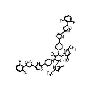 Cc1cc(C(F)(F)F)nn1CC(C(=O)C(C(C=O)n1nc(C(F)(F)F)cc1C)N1CCC(c2nc(C3=NOC(c4c(F)cccc4F)C3)cs2)CC1)N1CCC(c2nc(C3=NO[C@H](c4c(F)cccc4F)C3)cs2)CC1